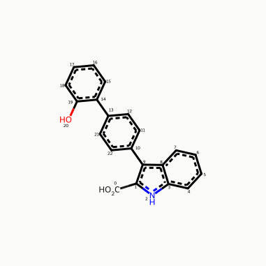 O=C(O)c1[nH]c2ccccc2c1-c1ccc(-c2ccccc2O)cc1